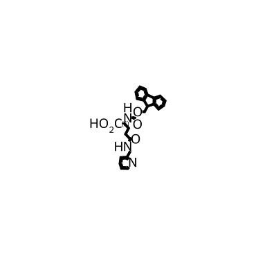 O=C(CC[C@H](NC(=O)OCC1c2ccccc2-c2ccccc21)C(=O)O)NCc1ccccn1